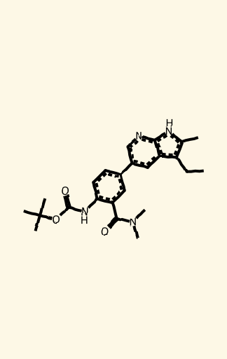 CCc1c(C)[nH]c2ncc(-c3ccc(NC(=O)OC(C)(C)C)c(C(=O)N(C)C)c3)cc12